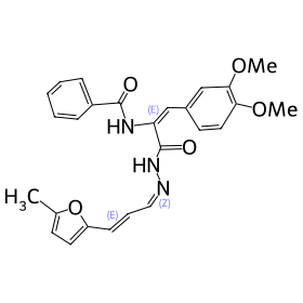 COc1ccc(/C=C(/NC(=O)c2ccccc2)C(=O)N/N=C\C=C\c2ccc(C)o2)cc1OC